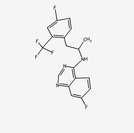 CC(Cc1ccc(F)cc1C(F)(F)F)Nc1ncnc2cc(F)ccc12